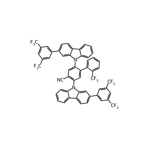 N#Cc1cc(-n2c3ccccc3c3ccc(-c4cc(C(F)(F)F)cc(C(F)(F)F)c4)cc32)c(-c2ccccc2C(F)(F)F)cc1-n1c2ccccc2c2ccc(-c3cc(C(F)(F)F)cc(C(F)(F)F)c3)cc21